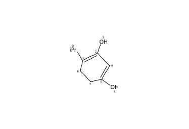 CC(C)C1=C(O)C=C(O)[CH]C1